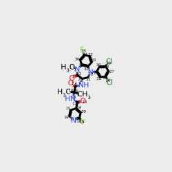 CN1C(=O)[C@H](NC(=O)C(C)(C)NC(=O)c2ccnc(F)c2)CN(c2cc(Cl)cc(Cl)c2)c2ccc(F)cc21